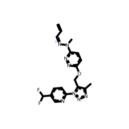 C=C/C=N\N(C)c1ccc(OCc2c(C)nnn2-c2ccc(C(F)F)cn2)nn1